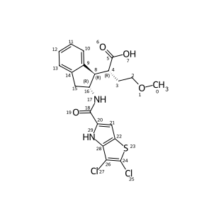 COCC[C@@H](C(=O)O)[C@@H]1c2ccccc2C[C@H]1NC(=O)c1cc2sc(Cl)c(Cl)c2[nH]1